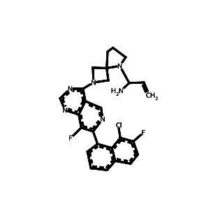 C=CC(N)N1CCCC12CN(c1ncnc3c(F)c(-c4cccc5ccc(F)c(Cl)c45)ncc13)C2